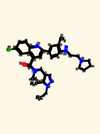 CCn1ncc(CN(C)C(=O)c2cc(-c3ccc(NCCN4CCCC4)c(C)c3)nc3ccc(Cl)cc23)c1C